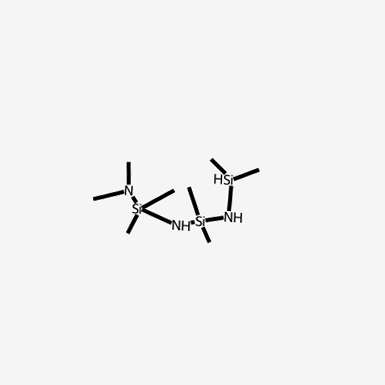 CN(C)[Si](C)(C)N[Si](C)(C)N[SiH](C)C